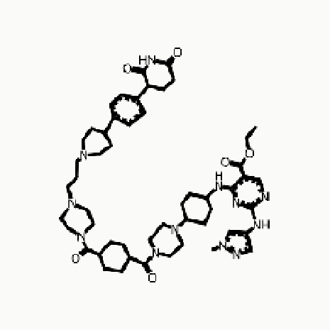 CCOC(=O)c1cnc(Nc2cnn(C)c2)nc1NC1CCC(N2CCN(C(=O)C3CCC(C(=O)N4CCN(CCCN5CCC(c6ccc(C7CCC(=O)NC7=O)cc6)CC5)CC4)CC3)CC2)CC1